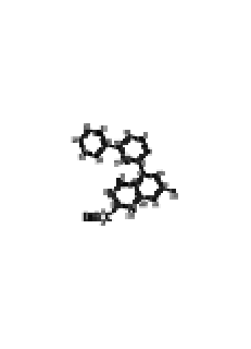 CCOC(=O)c1nnc2c(-c3cccc(-c4ccccc4)n3)cc(C)cc2n1